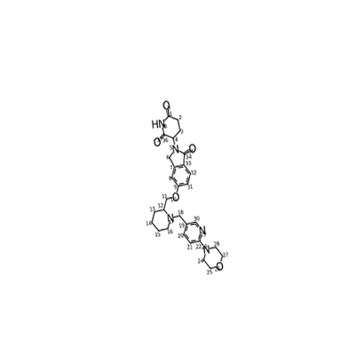 O=C1CCC(N2Cc3cc(OCC4CCCCN4Cc4ccc(N5CCOCC5)nc4)ccc3C2=O)C(=O)N1